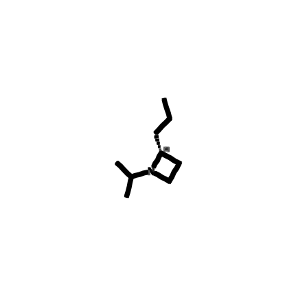 CCC[C@@H]1CCN1C(C)C